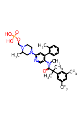 Cc1ccccc1-c1cc(N2CCN(COP(=O)(O)O)C(C)C2)ncc1N(C)C(=O)C(C)(C)c1cc(C(F)(F)F)cc(C(F)(F)F)c1